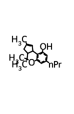 CCCc1cc(O)c2c(c1)OC(C)(C)C1CC(C)=CC21